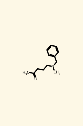 CC(=O)CCCN(C)Cc1ccccc1